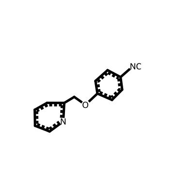 [C-]#[N+]c1ccc(OCc2ccccn2)cc1